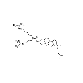 CC(C)CCCC(C)C1CCC2C3CC=C4CC(OC(=O)N(CCCCCNC(N)N)CCCCNC(N)N)CCC4(C)C3CCC12C